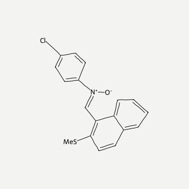 CSc1ccc2ccccc2c1C=[N+]([O-])c1ccc(Cl)cc1